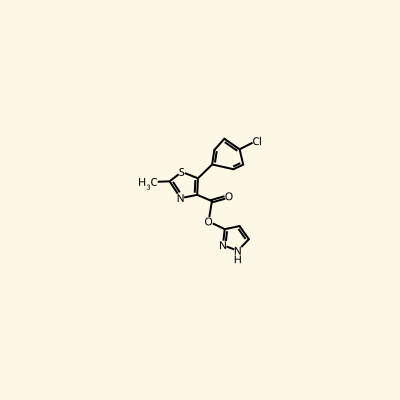 Cc1nc(C(=O)Oc2cc[nH]n2)c(-c2ccc(Cl)cc2)s1